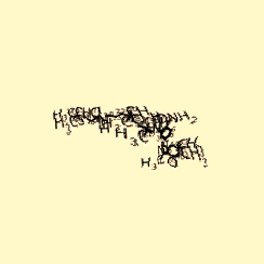 Cc1nn(-c2ccc(C(N)=O)c(NCC(C)(C)COC(C)(C)CCCNC(=O)CCSC(C)(C)C)c2)c2c1C(=O)CC(C)(C)C2